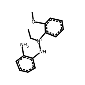 CC[N+](Nc1ccccc1N)c1ccccc1OC